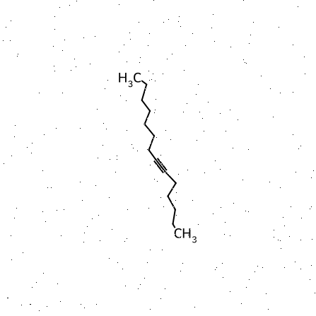 CCCCCC#CCCCCCCC